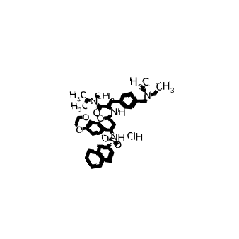 CCN(CC)Cc1ccc(CC(NC(=O)CC(NS(=O)(=O)c2ccc3c(c2)CCCC3)c2ccc3c(c2)OCCO3)C(=O)N(C)C(C)C)cc1.Cl